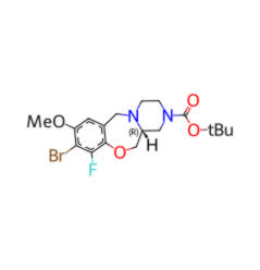 COc1cc2c(c(F)c1Br)OC[C@H]1CN(C(=O)OC(C)(C)C)CCN1C2